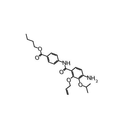 C=CCOc1c(C(=O)Nc2ccc(C(=O)OCCCC)cc2)ccc(N)c1OC(C)C